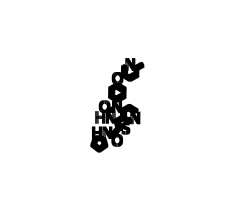 Cc1ccc(Oc2ccc(N3C(=O)Nc4c(C(=O)NC5CCCC5)sc5nccc3c45)cc2)cn1